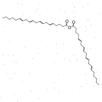 CCCCCC=CCC=CCC=CCC=CCCCC(=O)OC(=O)CCCC=CCC=CCC=CCC=CCCCCC